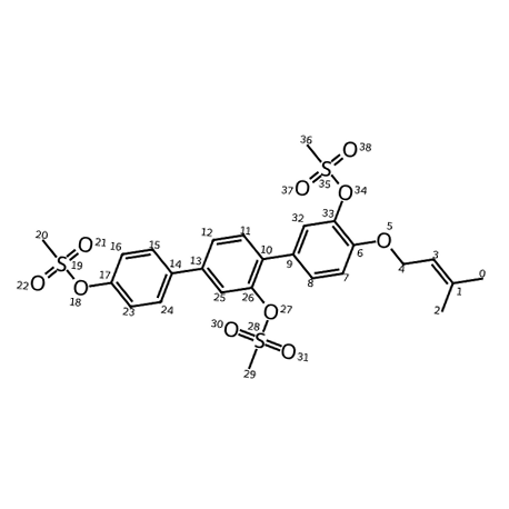 CC(C)=CCOc1ccc(-c2ccc(-c3ccc(OS(C)(=O)=O)cc3)cc2OS(C)(=O)=O)cc1OS(C)(=O)=O